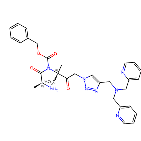 C[C@H](N)C(=O)N(C(=O)OCc1ccccc1)[C@@](C)(C(=O)O)C(=O)Cn1cc(CN(Cc2ccccn2)Cc2ccccn2)nn1